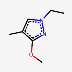 CCn1cc(C)c(OC)n1